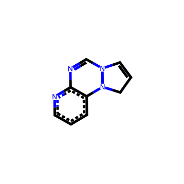 C1=CN2C=Nc3ncccc3N2C1